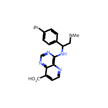 CNCC(Nc1ncnc2c(C(=O)O)ccnc12)c1ccc(C(C)C)cc1